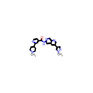 CN1CC=C(c2cc(C(=O)Nc3cc4cc(-c5cnn(C)c5)cnc4cn3)ccn2)CC1